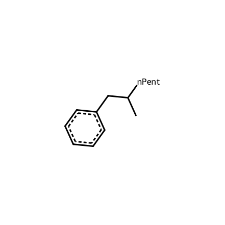 CCCCCC(C)Cc1ccccc1